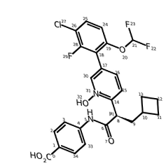 O=C(O)c1ccc(NC(=O)[C@H](CC2CCC2)c2ccc(-c3c(OC(F)F)ccc(Cl)c3F)c[n+]2O)cc1